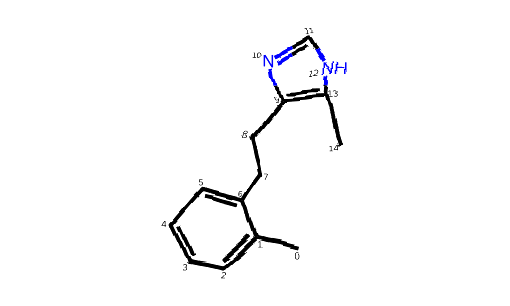 Cc1ccccc1CCc1nc[nH]c1C